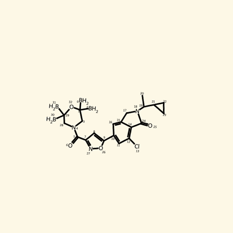 BC1(B)CN(C(=O)c2cc(-c3cc(Cl)c4c(c3)CN(C(C)C3CC3)C4=O)on2)CC(B)(B)O1